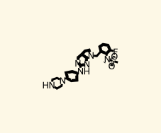 CN(c1c(F)cccc1Cn1ccc2cnc(Nc3ccc(N4CCNCC4)cc3)nc21)S(C)(=O)=O